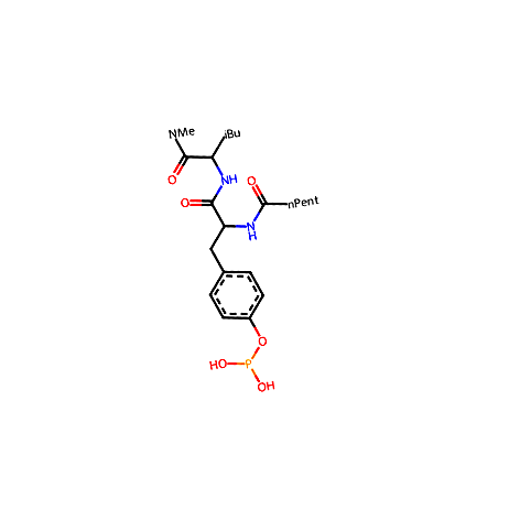 CCCCCC(=O)NC(Cc1ccc(OP(O)O)cc1)C(=O)NC(C(=O)NC)C(C)CC